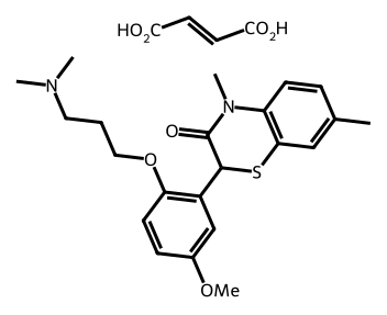 COc1ccc(OCCCN(C)C)c(C2Sc3cc(C)ccc3N(C)C2=O)c1.O=C(O)/C=C/C(=O)O